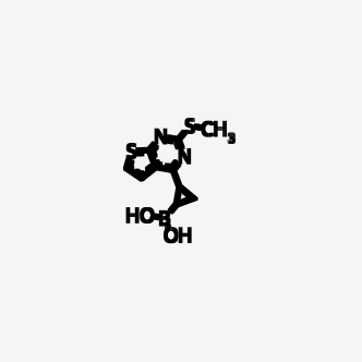 CSc1nc(C2CC2B(O)O)c2ccsc2n1